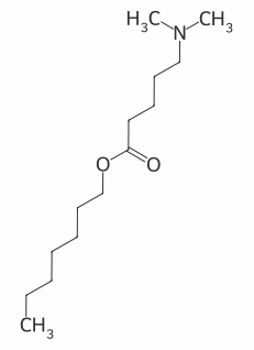 CCCCCCCOC(=O)CCCCN(C)C